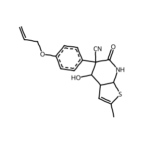 C=CCOc1ccc(C2(C#N)C(=O)NC3SC(C)=CC3C2O)cc1